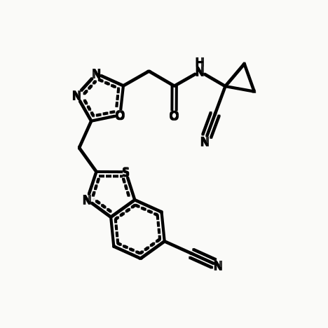 N#Cc1ccc2nc(Cc3nnc(CC(=O)NC4(C#N)CC4)o3)sc2c1